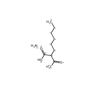 CCCCCCC(C(C)=O)C(=O)O.[AlH3]